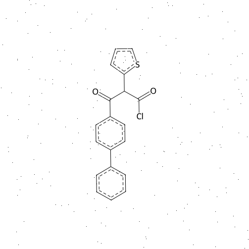 O=C(Cl)C(C(=O)c1ccc(-c2ccccc2)cc1)c1cccs1